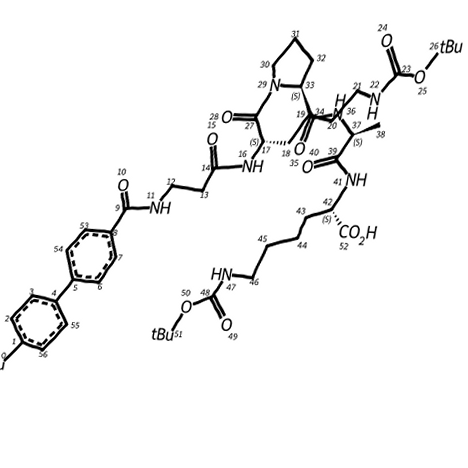 CCCCc1ccc(-c2ccc(C(=O)NCCC(=O)N[C@@H](CCCCNC(=O)OC(C)(C)C)C(=O)N3CCC[C@H]3C(=O)N[C@@H](C)C(=O)N[C@@H](CCCCNC(=O)OC(C)(C)C)C(=O)O)cc2)cc1